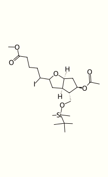 COC(=O)CCCC(I)C1C[C@@H]2[C@@H](CO[Si](C)(C)C(C)(C)C)[C@H](OC(C)=O)C[C@@H]2O1